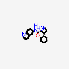 O=C(Nc1ccc2ncccc2c1)[C@H]1NCC[C@H]1C1CCCCC1